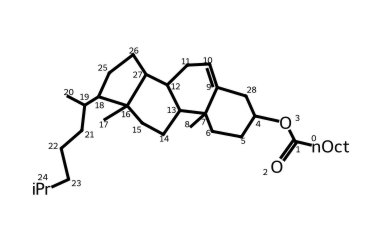 CCCCCCCCC(=O)OC1CCC2(C)C(=CCC3C2CCC2(C)C(C(C)CCCC(C)C)CCC32)C1